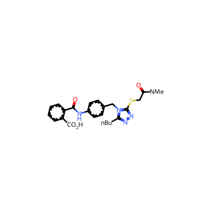 CCCCc1nnc(SCC(=O)NC)n1Cc1ccc(NC(=O)c2ccccc2C(=O)O)cc1